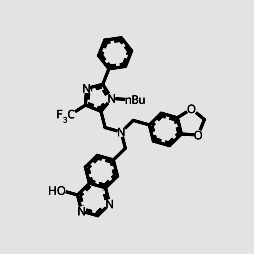 CCCCn1c(-c2ccccc2)nc(C(F)(F)F)c1CN(Cc1ccc2c(c1)OCO2)Cc1ccc2c(O)ncnc2c1